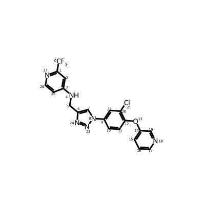 FC(F)(F)c1cc(NCc2cn(-c3ccc(Oc4cccnc4)c(Cl)c3)nn2)ccn1